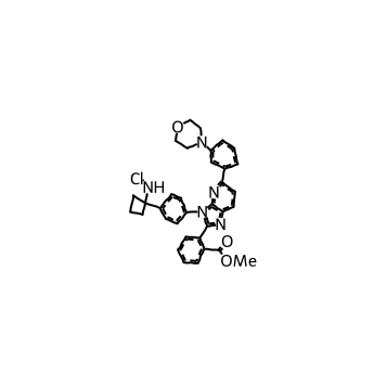 COC(=O)c1ccccc1-c1nc2ccc(-c3cccc(N4CCOCC4)c3)nc2n1-c1ccc(C2(NCl)CCC2)cc1